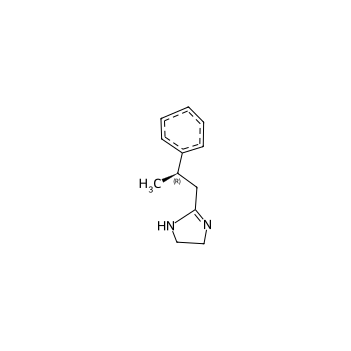 C[C@H](CC1=NCCN1)c1ccccc1